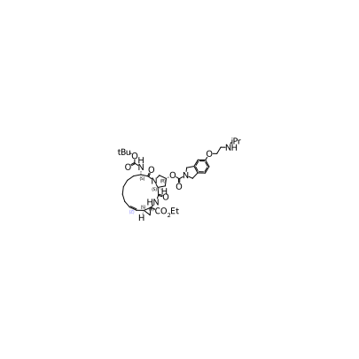 CCOC(=O)[C@@]12C[C@H]1/C=C\CCCCC[C@H](NC(=O)OC(C)(C)C)C(=O)N1C[C@H](OC(=O)N3Cc4ccc(OCCNC(C)C)cc4C3)C[C@H]1C(=O)N2